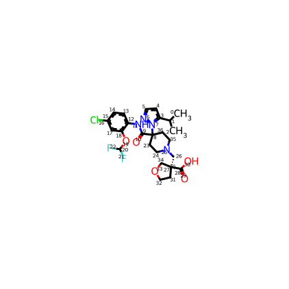 CC(C)c1ccnn1C1(C(=O)Nc2ccc(Cl)cc2OC(F)F)CCN(C[C@]2(C(=O)O)CCOC2)CC1